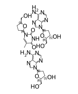 Cc1cn([C@H]2CC[C@@H](CO)O2)c(=O)[nH]c1=O.Nc1ncnc2c1ncn2[C@H]1C[C@H](O)[C@@H](CO)O1.Nc1ncnc2c1ncn2[C@H]1C[C@H](O)[C@@H](CO)O1